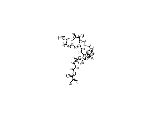 C=C(C)C(=O)OCCC[Si](C)(C)O[Si](C)(C)O[Si](C)(CCCOCCOC(C)CO)O[Si](C)(C)CCCOC(=O)C(=C)C